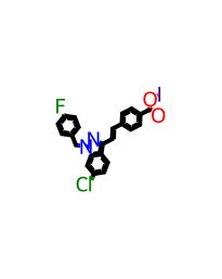 O=C(OI)c1ccc(C=Cc2nn(Cc3ccc(F)cc3)c3cc(Cl)ccc23)cc1